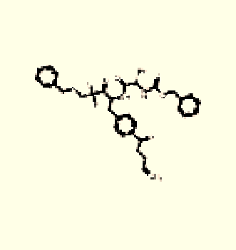 C=CCCC(=O)c1ccc(CC(NC(=O)[C@@H](NC(=O)OCc2ccccc2)C(C)C)C(=O)C(F)(F)CNCc2ccccc2)cc1